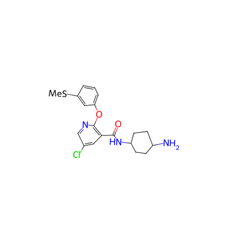 CSc1cccc(Oc2ncc(Cl)cc2C(=O)NC2CCC(N)CC2)c1